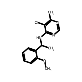 COc1ccccc1C(C)Nc1ncnc(C)c1Cl